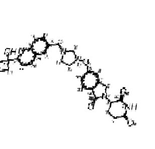 O=C1CCC(N2Cc3cc(O[C@H]4CCN(Cc5ccc6nc(C7(O)CCC7)ccc6c5)C4)ccc3C2=O)C(=O)N1